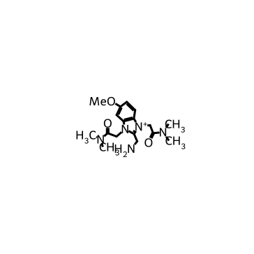 COc1ccc2c(c1)n(CC(=O)N(C)C)c(CN)[n+]2CC(=O)N(C)C